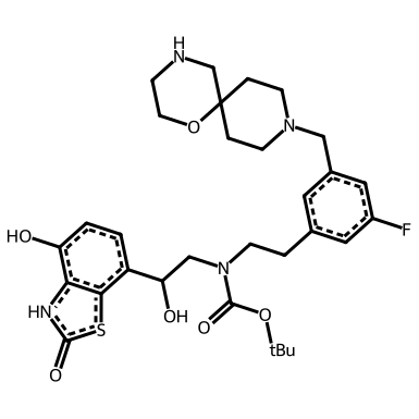 CC(C)(C)OC(=O)N(CCc1cc(F)cc(CN2CCC3(CC2)CNCCO3)c1)CC(O)c1ccc(O)c2[nH]c(=O)sc12